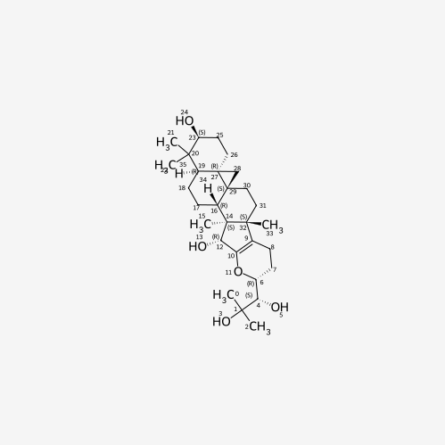 CC(C)(O)[C@@H](O)[C@H]1CCC2=C(O1)[C@H](O)[C@@]1(C)[C@@H]3CC[C@H]4C(C)(C)[C@@H](O)CC[C@@]45C[C@@]35CC[C@]21C